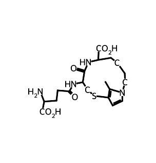 Cc1c2ccn1CCCCC(C(=O)O)NC(=O)C(NC(=O)CCC(N)C(=O)O)CS2